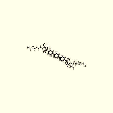 CCCCCC[C@@H](C)OC(=O)c1ccc(-c2ccc(-c3ccc(C(=O)O[C@@H](C)CCCCCC)cc3)cc2)cc1